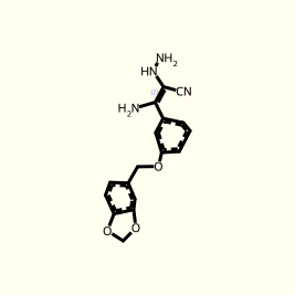 N#C/C(NN)=C(/N)c1cccc(OCc2ccc3c(c2)OCO3)c1